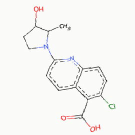 CC1C(O)CCN1c1ccc2c(C(=O)O)c(Cl)ccc2n1